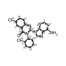 Nc1ncnc2c1ncn2-c1nc2ccc(Cl)cc2c(=O)n1-c1ccccc1Cl